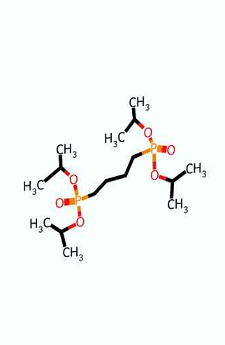 CC(C)OP(=O)(CCCCP(=O)(OC(C)C)OC(C)C)OC(C)C